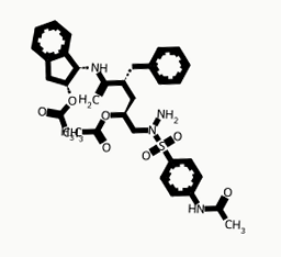 C=C(N[C@H]1c2ccccc2C[C@H]1OC(C)=O)[C@H](Cc1ccccc1)C[C@@H](CN(N)S(=O)(=O)c1ccc(NC(C)=O)cc1)OC(C)=O